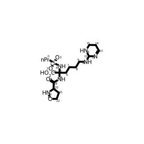 CCCS(=O)(=O)NC(CCCCNC1N=CCCN1)(NC(=O)C1CCON1)C(=O)O